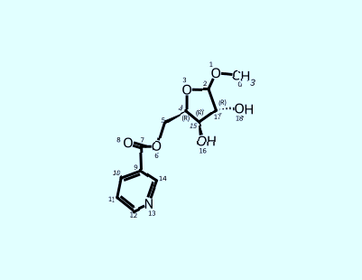 COC1O[C@H](COC(=O)c2cccnc2)[C@H](O)[C@H]1O